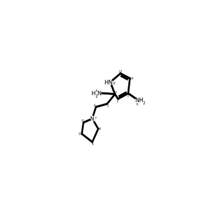 NC1=CC(N)(CCN2CCCC2)NC=C1